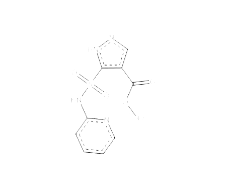 CC(C)OC(=O)c1cn[nH]c1S(=O)(=O)Nc1ccccn1